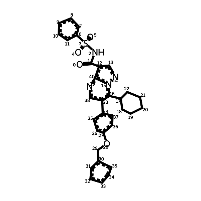 O=C(NS(=O)(=O)c1ccccc1)c1cnn2c(C3CCCCC3)c(-c3ccc(OCc4ccccc4)cc3)cnc12